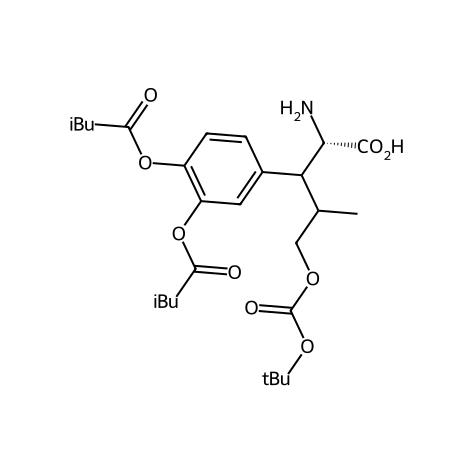 CCC(C)C(=O)Oc1ccc(C(C(C)COC(=O)OC(C)(C)C)[C@H](N)C(=O)O)cc1OC(=O)C(C)CC